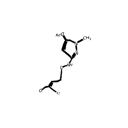 CC(=O)Oc1cc(NOCC=C(Cl)Cl)nn1C